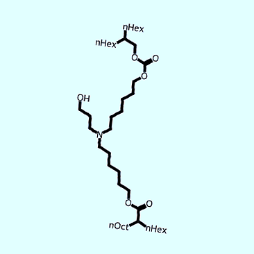 CCCCCCCCC(CCCCCC)C(=O)OCCCCCCN(CCCO)CCCCCCOC(=O)OCC(CCCCCC)CCCCCC